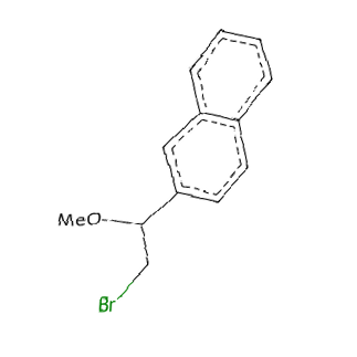 COC(CBr)c1ccc2ccccc2c1